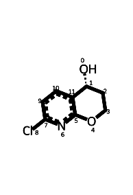 O[C@@H]1CCOc2nc(Cl)ccc21